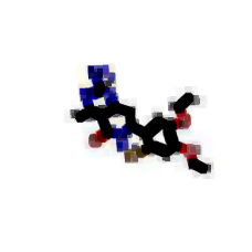 CCOc1cc(Br)c(C2Cc3nc(N)nc(C)c3C(=O)N2)cc1OCC